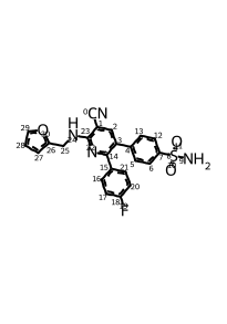 N#Cc1cc(-c2ccc(S(N)(=O)=O)cc2)c(-c2ccc(F)cc2)nc1NCc1ccco1